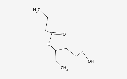 CCCC(=O)OC(CC)CCCO